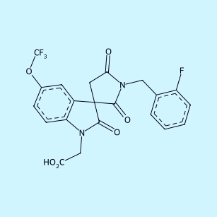 O=C(O)CN1C(=O)C2(CC(=O)N(Cc3ccccc3F)C2=O)c2cc(OC(F)(F)F)ccc21